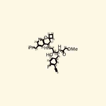 C#Cc1cc(C[C@H](NC(=O)COC)[C@H](O)CN[C@H]2CC3(CCC3)Oc3ncc(CC(C)C)cc32)ccc1F